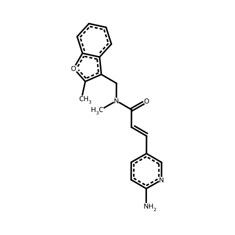 Cc1oc2ccccc2c1CN(C)C(=O)/C=C/c1ccc(N)nc1